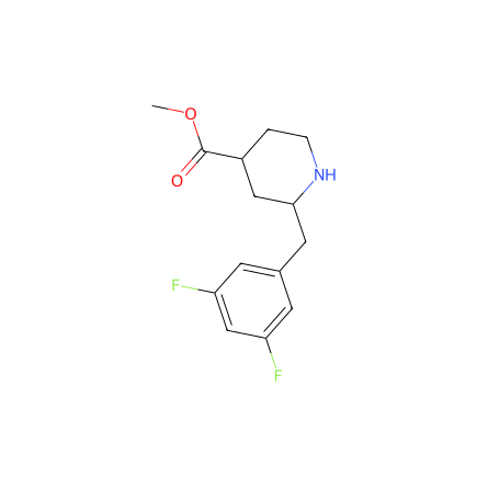 COC(=O)C1CCNC(Cc2cc(F)cc(F)c2)C1